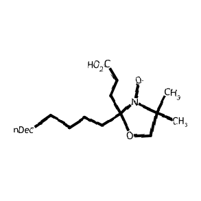 CCCCCCCCCCCCCCC1(CCC(=O)O)OCC(C)(C)N1[O]